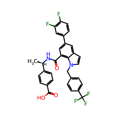 C[C@@H](NC(=O)c1cc(-c2ccc(F)c(F)c2)cc2ccn(Cc3ccc(C(F)(F)F)cc3)c12)c1ccc(C(=O)O)cc1